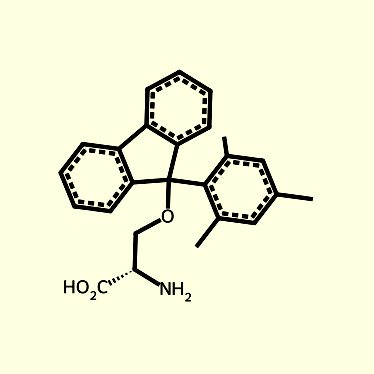 Cc1cc(C)c(C2(OC[C@H](N)C(=O)O)c3ccccc3-c3ccccc32)c(C)c1